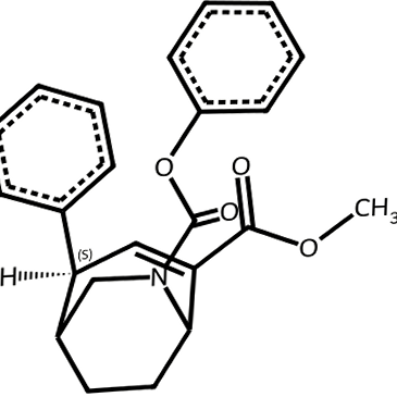 COC(=O)C1=C[C@H](c2ccccc2)C2CCC1N(C(=O)Oc1ccccc1)C2